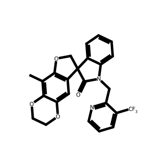 Cc1c2c(cc3c1OCC31C(=O)N(Cc3ncccc3C(F)(F)F)c3ccccc31)OCCO2